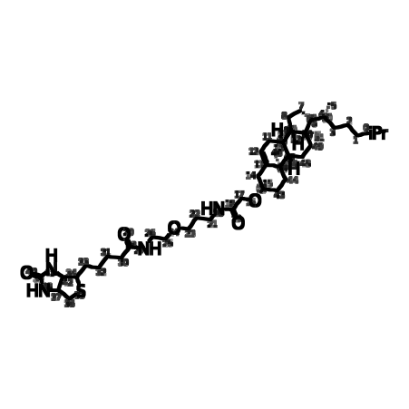 CC(C)CCC[C@@H](C)[C@H]1CC[C@H]2[C@@H]3CC=C4C[C@@H](OCC(=O)NCCCOCCNC(=O)CCCCC5SCC6NC(=O)NC65)CC[C@]4(C)[C@H]3CC[C@]12C